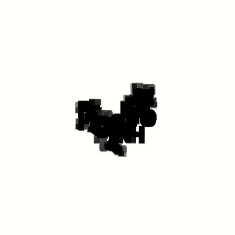 CC(C)[C@H](NC(=O)Cn1ncc2cccn2c1=O)c1ccc(C(F)(F)F)cc1